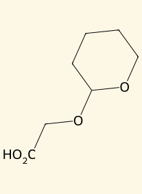 O=C(O)COC1CCCCO1